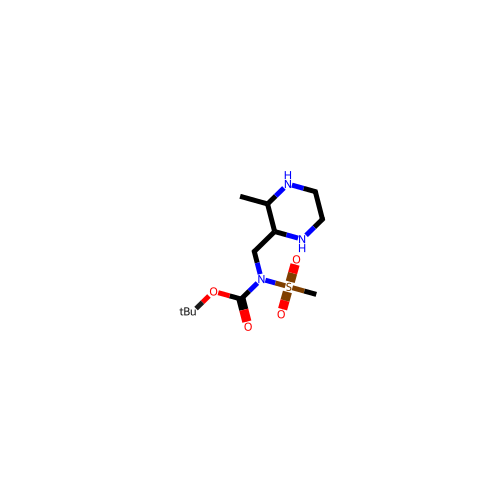 CC1NCCNC1CN(C(=O)OC(C)(C)C)S(C)(=O)=O